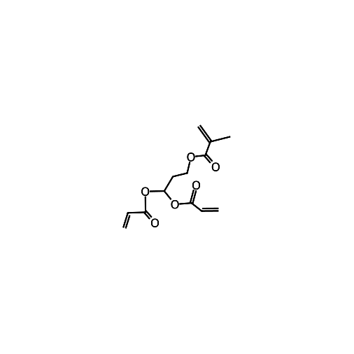 C=CC(=O)OC(CCOC(=O)C(=C)C)OC(=O)C=C